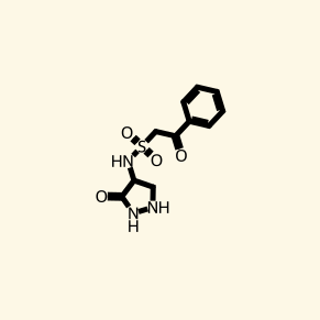 O=C(CS(=O)(=O)NC1CNNC1=O)c1ccccc1